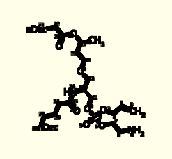 C=CCOP(=O)(OCCN)OC[C@H](COCC[C@@H](C)OC(=O)CCCCCCCCCCC)NC(=O)CCCCCCCCCCCCC